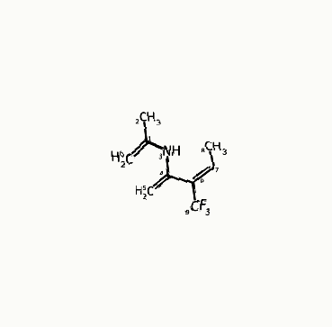 C=C(C)NC(=C)/C(=C\C)C(F)(F)F